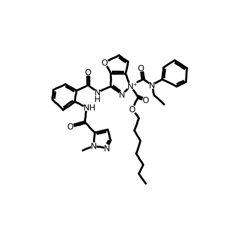 CCCCCCCOC(=O)[N+]1(C(=O)N(CC)c2ccccc2)N=C(NC(=O)c2ccccc2NC(=O)c2ccnn2C)c2occc21